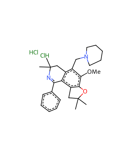 COc1c(CN2CCCCC2)c2c(c3c1OC(C)(C)C3)C(c1ccccc1)=NC(C)(C)C2.Cl.Cl